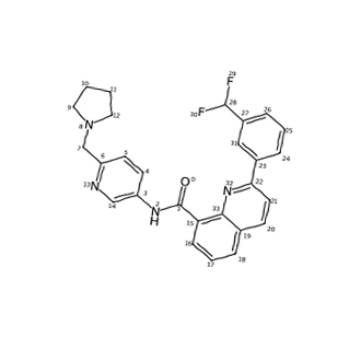 O=C(Nc1ccc(CN2CCCC2)nc1)c1cccc2ccc(-c3cccc(C(F)F)c3)nc12